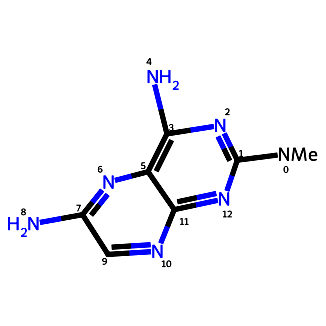 CNc1nc(N)c2nc(N)cnc2n1